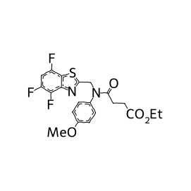 CCOC(=O)CCC(=O)N(Cc1nc2c(F)c(F)cc(F)c2s1)c1ccc(OC)cc1